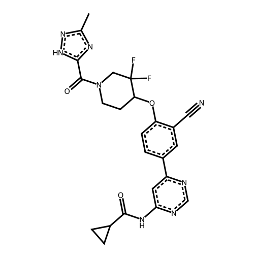 Cc1n[nH]c(C(=O)N2CCC(Oc3ccc(-c4cc(NC(=O)C5CC5)ncn4)cc3C#N)C(F)(F)C2)n1